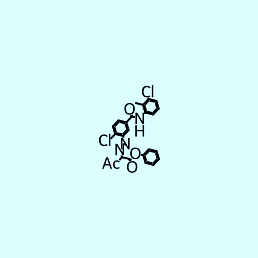 CC(=O)C(N=Nc1cc(C(=O)Nc2cccc(Cl)c2C)ccc1Cl)C(=O)Oc1ccccc1